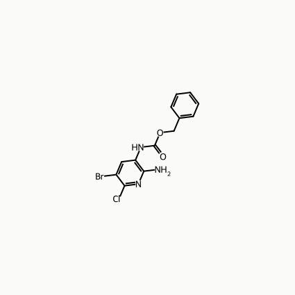 Nc1nc(Cl)c(Br)cc1NC(=O)OCc1ccccc1